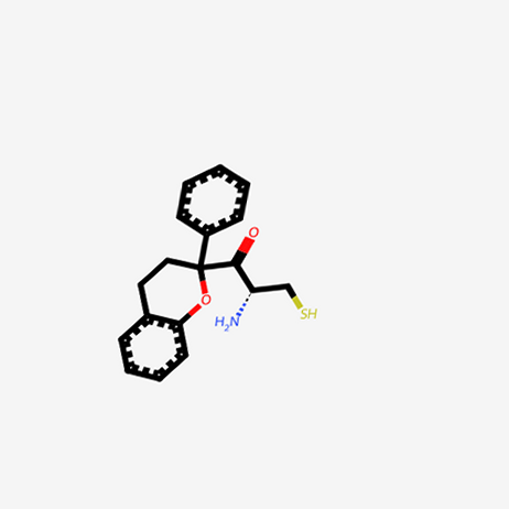 N[C@@H](CS)C(=O)C1(c2ccccc2)CCc2ccccc2O1